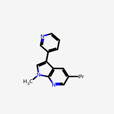 CC(C)c1cnc2c(c1)c(-c1cccnc1)cn2C